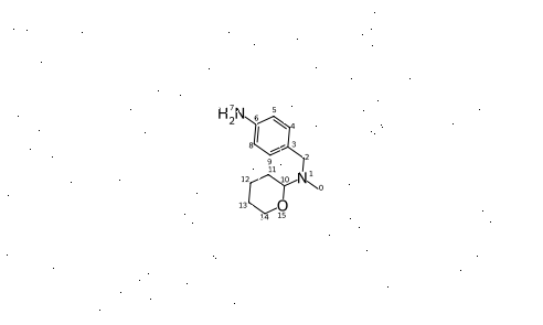 CN(Cc1ccc(N)cc1)C1CCCCO1